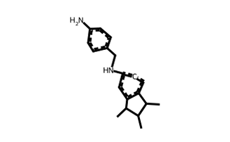 CC1c2ccc(NCc3ccc(N)cc3)cc2C(C)C1C